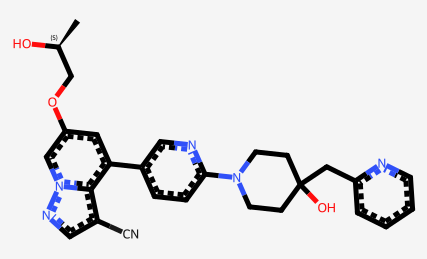 C[C@H](O)COc1cc(-c2ccc(N3CCC(O)(Cc4ccccn4)CC3)nc2)c2c(C#N)cnn2c1